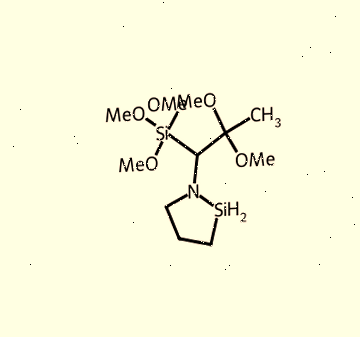 COC(C)(OC)C(N1CCC[SiH2]1)[Si](OC)(OC)OC